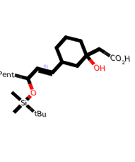 CCCCCC(/C=C/C1CCCC(O)(CC(=O)O)C1)O[Si](C)(C)C(C)(C)C